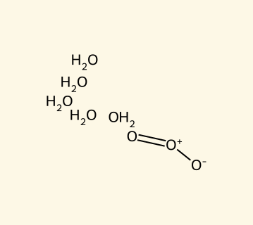 O.O.O.O.O.O=[O+][O-]